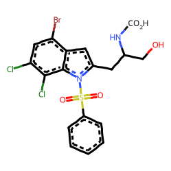 O=C(O)NC(CO)Cc1cc2c(Br)cc(Cl)c(Cl)c2n1S(=O)(=O)c1ccccc1